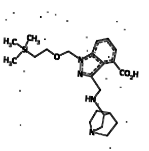 C[Si](C)(C)CCOCn1nc(CNC2CN3CCC2CC3)c2c(C(=O)O)cccc21